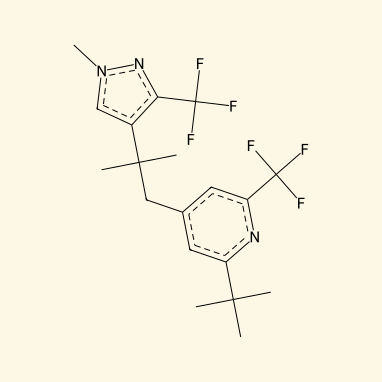 Cn1cc(C(C)(C)Cc2cc(C(C)(C)C)nc(C(F)(F)F)c2)c(C(F)(F)F)n1